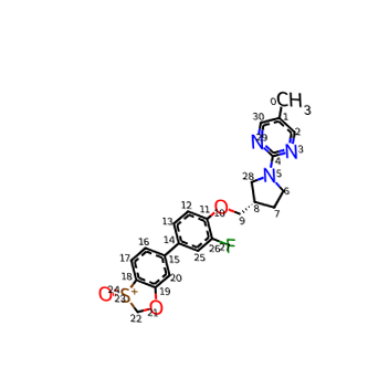 Cc1cnc(N2CC[C@H](COc3ccc(-c4ccc5c(c4)OC[S@+]5[O-])cc3F)C2)nc1